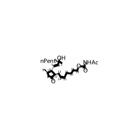 CCCCC[C@](C)(O)/C=C/[C@H]1[C@H](C)CC(=O)[C@@H]1C/C=C\CCCCOC(=O)NC(C)=O